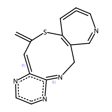 C=C1/C=c2/nccn/c2=N/CC2=C(C=C=CN=C2)S1